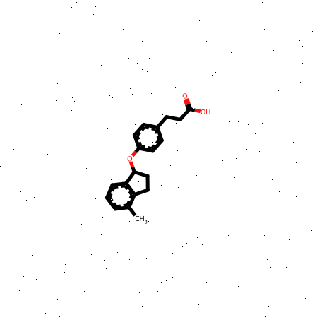 Cc1cccc2c1CCC2Oc1ccc(CCC(=O)O)cc1